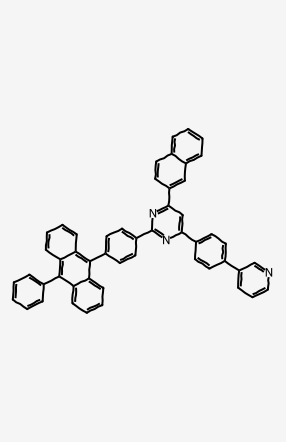 c1ccc(-c2c3ccccc3c(-c3ccc(-c4nc(-c5ccc(-c6cccnc6)cc5)cc(-c5ccc6ccccc6c5)n4)cc3)c3ccccc23)cc1